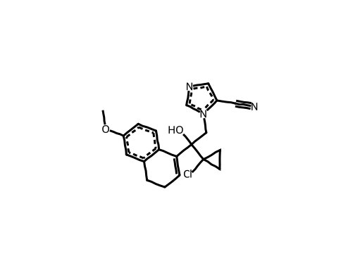 COc1ccc2c(c1)CCC=C2C(O)(Cn1cncc1C#N)C1(Cl)CC1